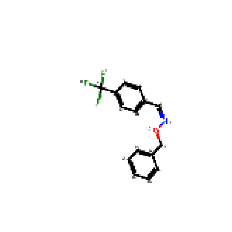 FC(F)(F)c1ccc(/[C]=N\OCc2ccccc2)cc1